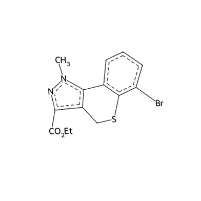 CCOC(=O)c1nn(C)c2c1CSc1c(Br)cccc1-2